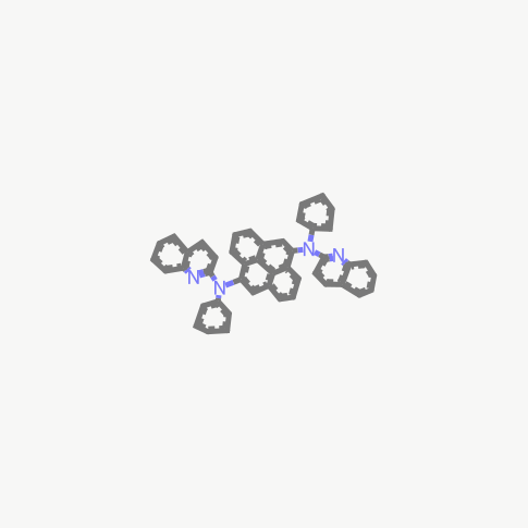 c1ccc(N(c2ccc3ccccc3n2)c2cc3cccc4c(N(c5ccccc5)c5ccc6ccccc6n5)cc5cccc2c5c34)cc1